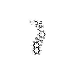 C=CS(=O)(=O)NC[C@H]1CCCN(S(=O)(=O)c2ccc3ccccc3c2)C1